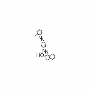 Cc1ccccc1/N=N/c1ccc(/N=N/c2c(O)ccc3ccccc23)cc1